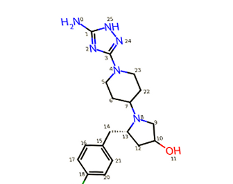 Nc1nc(N2CCC(N3CC(O)C[C@@H]3Cc3ccc(Cl)cc3)CC2)n[nH]1